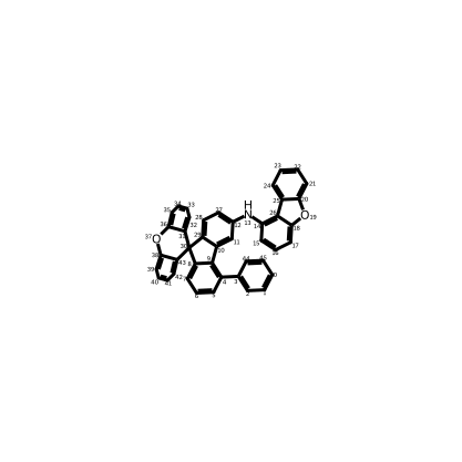 c1ccc(-c2cccc3c2-c2cc(Nc4cccc5oc6ccccc6c45)ccc2C32c3ccccc3Oc3ccccc32)cc1